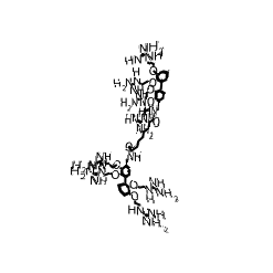 N=C(N)NCCOc1cccc(-c2ccc(CNC(=O)CCCCCCC(=O)NCc3ccc(-c4cccc(OCCNC(=N)N)c4OCCNC(=N)N)c(OCCNC(=N)N)c3OCCNC(=N)N)c(OCCNC(=N)N)c2OCCNC(=N)N)c1OCCNC(=N)N